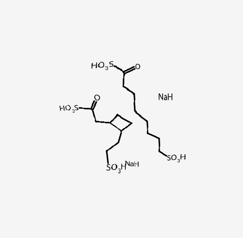 O=C(CC1CCC1CCS(=O)(=O)O)S(=O)(=O)O.O=C(CCCCCCCS(=O)(=O)O)S(=O)(=O)O.[NaH].[NaH]